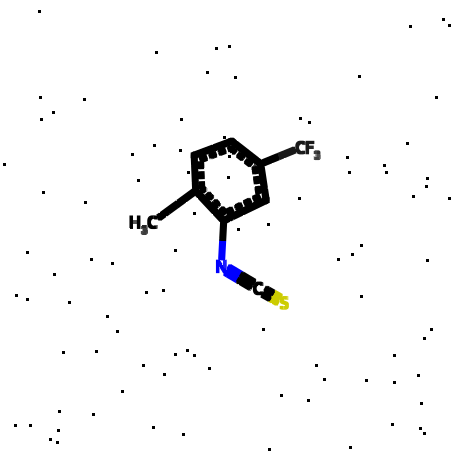 Cc1ccc(C(F)(F)F)cc1N=C=S